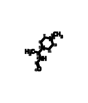 CC(N[C]=O)N1CCN(C)CC1